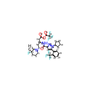 CC1(F)CCCN(CC[C@@H](CC(=O)OC(=O)C(F)(F)F)NC(=O)c2cc(-c3ccccc3C(F)(F)F)n(C3CCCC3)n2)C1